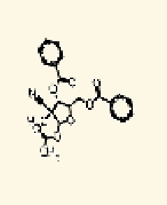 CC(=O)OC1O[C@H](COC(=O)c2ccccc2)[C@@H](OC(=O)c2ccccc2)[C@@]1(C)C#N